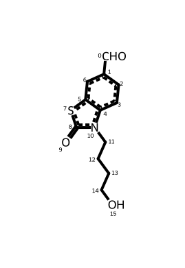 O=Cc1ccc2c(c1)sc(=O)n2CCCCO